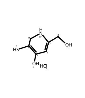 Cl.OCC1=CC(O)=C(S)CN1